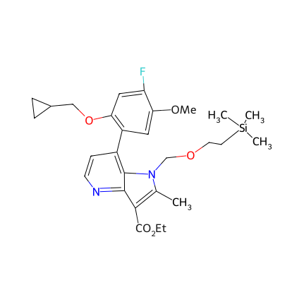 CCOC(=O)c1c(C)n(COCC[Si](C)(C)C)c2c(-c3cc(OC)c(F)cc3OCC3CC3)ccnc12